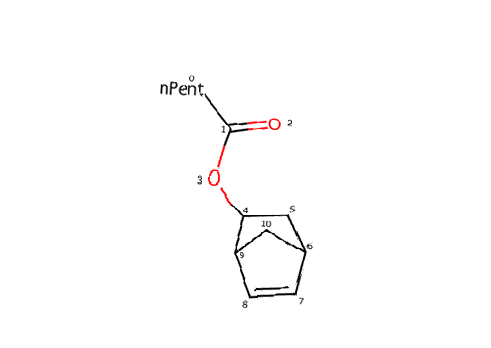 CCCCCC(=O)OC1CC2C=CC1C2